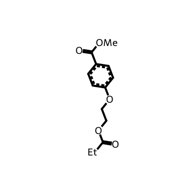 CCC(=O)OCCOc1ccc(C(=O)OC)cc1